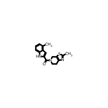 Cc1nc2c(s1)CN(C(=O)c1cc3c(C)cccc3[nH]1)CC2